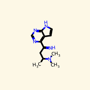 CC(CC(=N)c1ncnc2[nH]ccc12)N(C)C